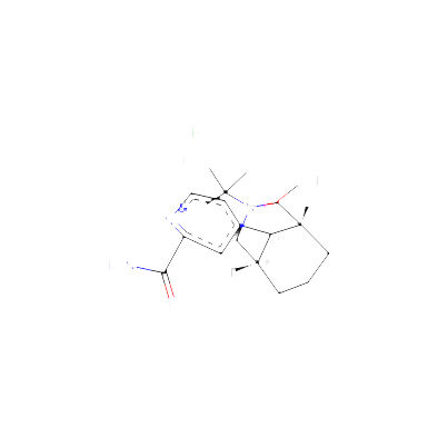 CO[C@@]1(c2ccnc(C(N)=O)c2)[C@@H]2CCC[C@H]1CN(C(C)(C)C)C2.Cl